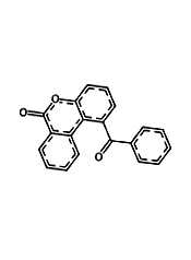 O=C(c1ccccc1)c1cccc2oc(=O)c3ccccc3c12